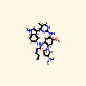 C=C/C=C\C(=O)Nc1cc(Nc2ncc(C)c(-c3cn(C)c4ccccc34)n2)c(OC)cc1N1CC[C@@H](N(C)C)C1